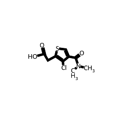 CN(C)C(=O)c1csc(CC(=O)O)c1Cl